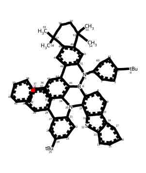 CC(C)(C)c1ccc(N2B3c4ccc5c(sc6ccccc65)c4N(c4ccc(C(C)(C)C)cc4-c4ccccc4)c4cc(-c5ccccc5)cc(c43)-c3cc4c(cc32)C(C)(C)CCC4(C)C)cc1